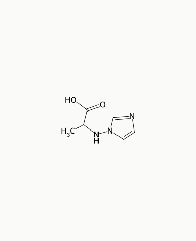 CC(Nn1ccnc1)C(=O)O